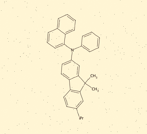 CC(C)c1ccc2c(c1)C(C)(C)c1cc(N(c3ccccc3)c3cccc4ccccc34)ccc1-2